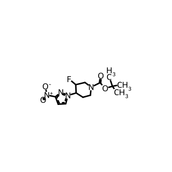 CC(C)(C)OC(=O)N1CCC(n2ccc([N+](=O)[O-])n2)C(F)C1